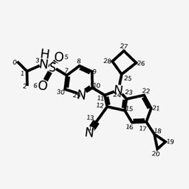 CC(C)NS(=O)(=O)c1ccc(-c2c(C#N)c3cc(C4CC4)ccc3n2C2CCC2)nc1